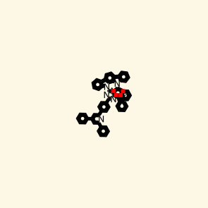 c1ccc(-c2cc(-c3ccccc3)nc(-c3ccc(-c4nc(-c5ccccc5)nc(-n5c6ccccc6c6ccc7c8ccccc8n(-c8ccc9c(c8)sc8ccccc89)c7c65)n4)cc3)c2)cc1